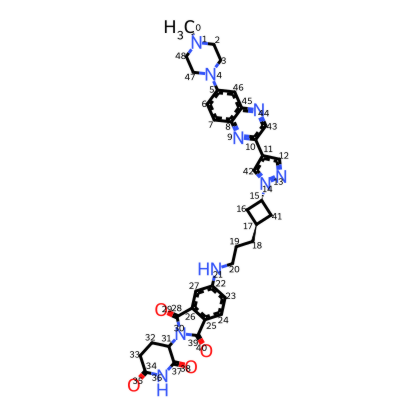 CN1CCN(c2ccc3nc(-c4cnn([C@H]5C[C@H](CCCNc6ccc7c(c6)C(=O)N(C6CCC(=O)NC6=O)C7=O)C5)c4)cnc3c2)CC1